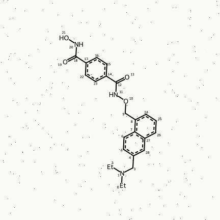 CCN(CC)Cc1ccc2c(CONC(=O)c3ccc(C(=O)NO)cc3)cccc2c1